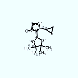 CC1(C)OB(c2c(Cl)cnn2C2CC2)OC1(C)C